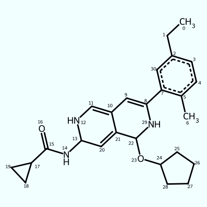 CCc1ccc(C)c(C2=CC3=CNC(NC(=O)C4CC4)C=C3C(OC3CCCC3)N2)c1